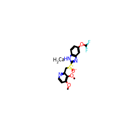 COc1ccnc(C[S+]([O-])c2nc3cc(OC(F)F)ccc3[nH]2)c1OC.[CaH2]